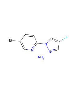 CCc1ccc(-n2cc(F)cn2)nc1.N